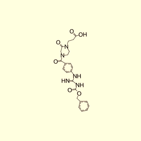 N=C(NC(=O)OCc1ccccc1)Nc1ccc(C(=O)N2CCN(CCC(=O)O)C(=O)C2)cc1